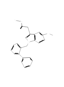 COc1ccc2c(c1)c(CC(=O)NN)cn2Cc1ccccc1-c1ccccc1